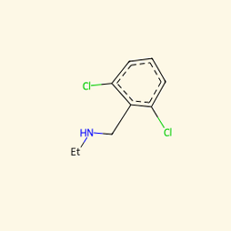 CCNCc1c(Cl)cccc1Cl